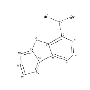 [CH2]C(C)C(c1cccc2c1Cc1ccccc1-2)C(C)C